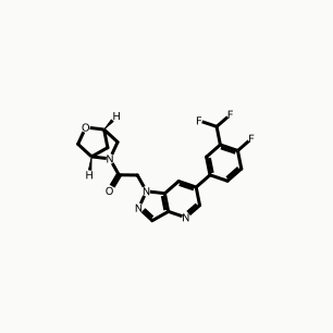 O=C(Cn1ncc2ncc(-c3ccc(F)c(C(F)F)c3)cc21)N1C[C@@H]2C[C@H]1CO2